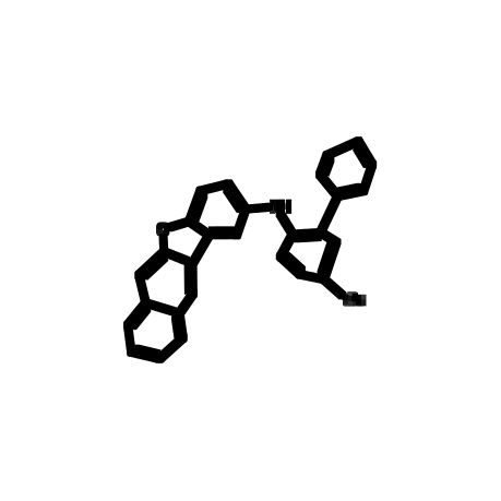 CC(C)(C)c1ccc(Nc2ccc3oc4cc5ccccc5cc4c3c2)c(-c2ccccc2)c1